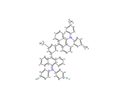 Cc1ccc(N(c2ccc(C)cc2)c2c3ccccc3c(-c3cc(C)cc(-c4c5ccccc5c(N(c5ccc(F)cc5)c5ccc(F)cc5)c5ccccc45)c3)c3ccccc23)cc1